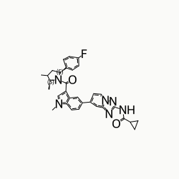 CC1C[C@@H](c2ccc(F)cc2)N(C(=O)c2cn(C)c3ccc(-c4ccn5nc(NC(=O)C6CC6)nc5c4)cc23)[C@H]1C